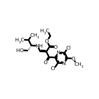 CCOC(=O)C(=CN[C@H](CO)C(C)C)C(=O)c1nc(Cl)c(OC)nc1Cl